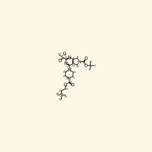 CC(C)(C)OC(=O)N1Cc2nc(S(C)(=O)=O)nc(N3CCN(C(=O)OCC[Si](C)(C)C)CC3)c2C1